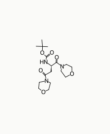 CC(C)(C)OC(=O)N[C@H](CC(=O)N1CCOCC1)C(=O)N1CCOCC1